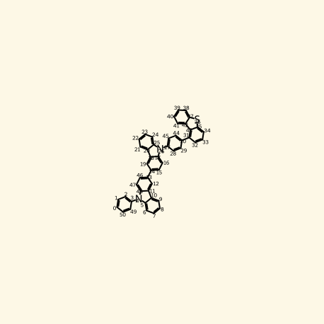 c1ccc(-n2c3ccccc3c3cc(-c4ccc5c(c4)c4ccccc4n5-c4ccc(-c5cccc6sc7ccccc7c56)cc4)ccc32)cc1